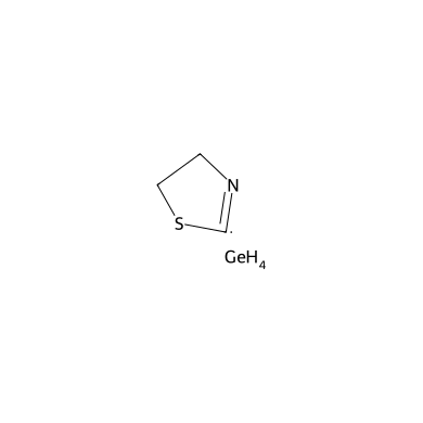 [C]1=NCCS1.[GeH4]